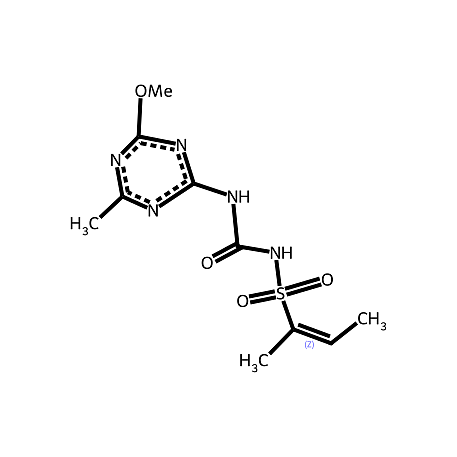 C/C=C(/C)S(=O)(=O)NC(=O)Nc1nc(C)nc(OC)n1